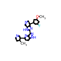 COc1cc(F)cc(-c2cncc3[nH]c(-c4n[nH]c5ccc(-c6cnccc6C)nc45)nc23)c1